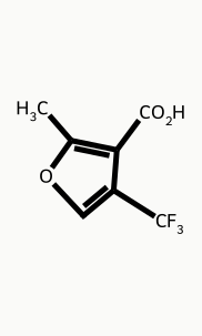 Cc1occ(C(F)(F)F)c1C(=O)O